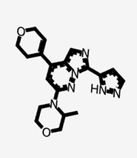 CC1COCCN1c1cc(C2=CCOCC2)c2cnc(-c3ccn[nH]3)n2n1